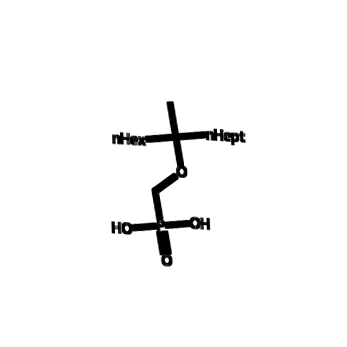 CCCCCCCC(C)(CCCCCC)OCP(=O)(O)O